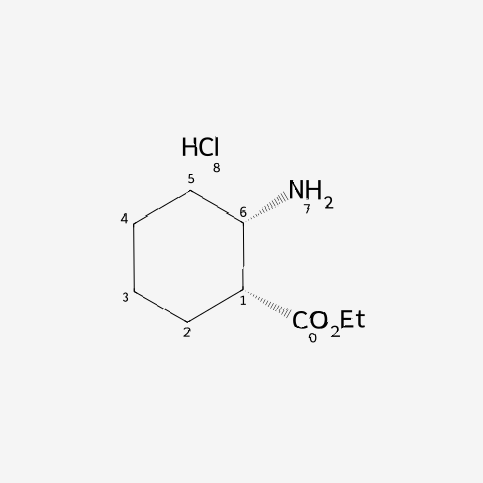 CCOC(=O)[C@@H]1CCCC[C@@H]1N.Cl